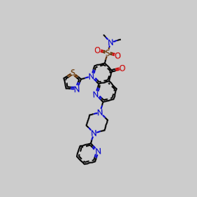 CN(C)S(=O)(=O)c1cn(-c2nccs2)c2nc(N3CCN(c4ccccn4)CC3)ccc2c1=O